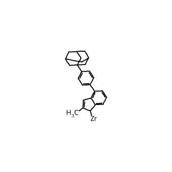 CC1=Cc2c(-c3ccc(C45CC6CC(CC(C6)C4)C5)cc3)cccc2[CH]1[Zr]